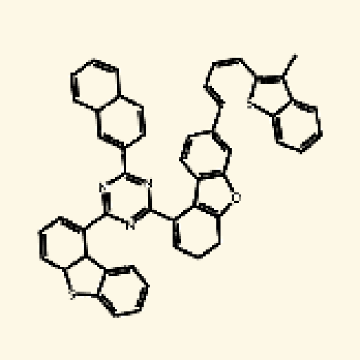 Cc1c(/C=C\C=C\c2ccc3c4c(oc3c2)CCC=C4c2nc(C3=CC4C=CC=CC4C=C3)nc(C3=CC=CC4Sc5ccccc5C34)n2)sc2ccccc12